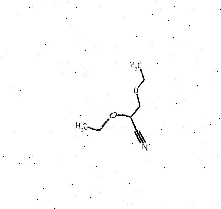 CCOCC(C#N)OCC